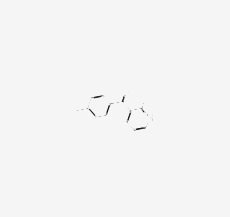 Cc1ccc(C(=S)c2cccnc2Cl)cc1